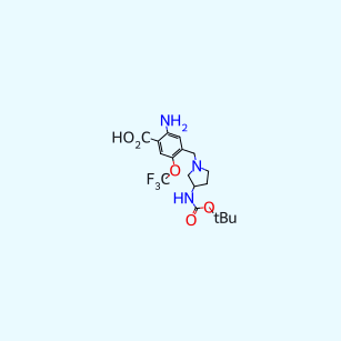 CC(C)(C)OC(=O)NC1CCN(Cc2cc(N)c(C(=O)O)cc2OC(F)(F)F)C1